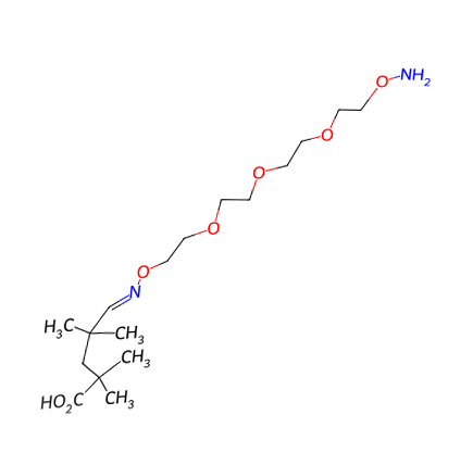 CC(C)(/C=N/OCCOCCOCCOCCON)CC(C)(C)C(=O)O